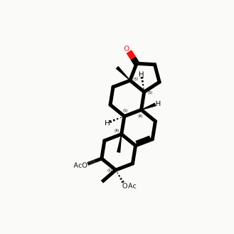 CC(=O)OC1C[C@@]2(C)C(=CC[C@@H]3[C@@H]2CC[C@]2(C)C(=O)CC[C@@H]32)C[C@]1(C)OC(C)=O